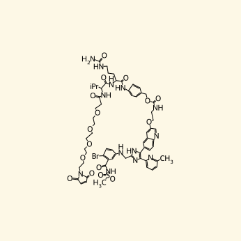 Cc1cccc(-c2nc(CNc3ccc(Br)c(C(=O)NS(C)(=O)=O)c3)[nH]c2-c2ccc3ncc(OCCNC(=O)OCc4ccc(NC(=O)C(CCCNC(N)=O)NC(=O)C(NC(=O)CCOCCOCCOCCOCCN5C(=O)C=CC5=O)C(C)C)cc4)cc3c2)n1